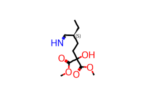 CC[C@H](C=N)CCC(O)(C(=O)OC)C(=O)OC